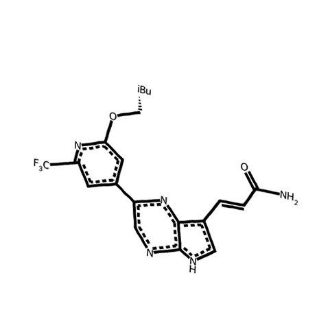 CC[C@@H](C)COc1cc(-c2cnc3[nH]cc(C=CC(N)=O)c3n2)cc(C(F)(F)F)n1